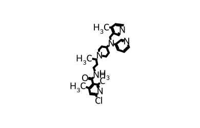 Cc1ccncc1CN(c1cccnc1)C1CCN(C(C)CCNC(=O)c2c(C)cc(Cl)nc2C)CC1